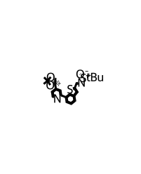 CC1(C)OC[C@@](C)(c2ccnc(-c3cccc4cc(C=N[S+]([O-])C(C)(C)C)sc34)c2)O1